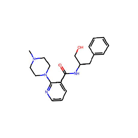 CN1CCN(c2ncccc2C(=O)NC(CO)Cc2ccccc2)CC1